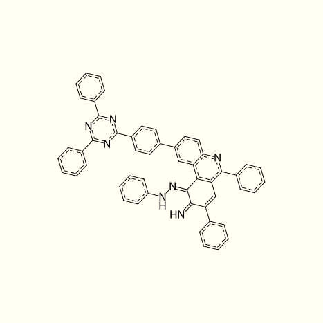 N=C1C(c2ccccc2)=Cc2c(-c3ccccc3)nc3ccc(-c4ccc(-c5nc(-c6ccccc6)nc(-c6ccccc6)n5)cc4)cc3c2/C1=N/Nc1ccccc1